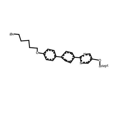 CCCCCCCOc1cnc(-c2ccc(-c3ccc(OCCCCCC(C)CC)cc3)cc2)nc1